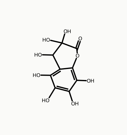 O=C1Oc2c(O)c(O)c(O)c(O)c2C(O)C1(O)O